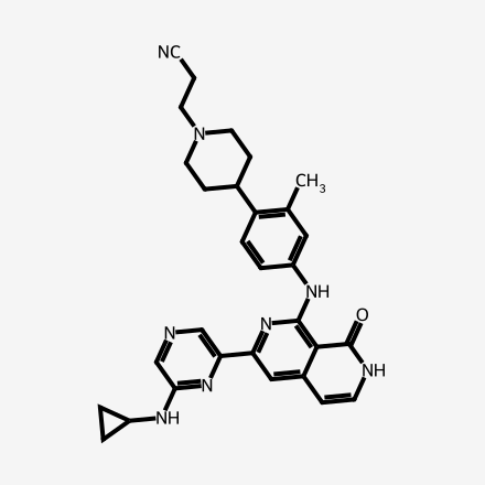 Cc1cc(Nc2nc(-c3cncc(NC4CC4)n3)cc3cc[nH]c(=O)c23)ccc1C1CCN(CCC#N)CC1